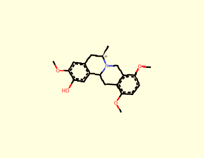 COc1cc2c(cc1O)C1Cc3c(OC)ccc(OC)c3CN1[C@H](C)C2